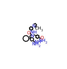 C[C@H]1CCCN1c1cccc(NC(=O)C2CC3(C4CCCCCCCCC4)CCC(C(=N)N)CC3N2Cc2ccc(C(N)=O)cc2)c1